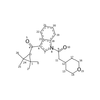 CC1(C)C(C(=O)c2cn(C(=O)CC3CCOCC3)c3ccccc23)C1(C)C